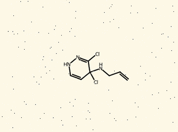 C=CCNC1(Cl)C=CNN=C1Cl